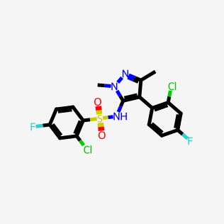 Cc1nn(C)c(NS(=O)(=O)c2ccc(F)cc2Cl)c1-c1ccc(F)cc1Cl